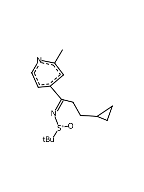 Cc1cc(/C(CCC2CC2)=N/[S+]([O-])C(C)(C)C)ccn1